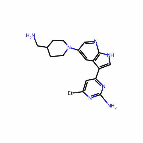 CCc1cc(-c2c[nH]c3ncc(N4CCC(CN)CC4)cc23)nc(N)n1